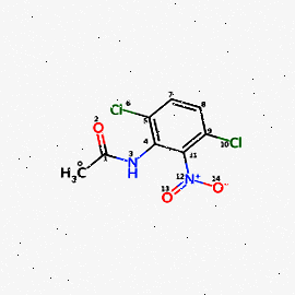 CC(=O)Nc1c(Cl)ccc(Cl)c1[N+](=O)[O-]